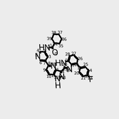 O=C(Nc1cncc(-c2ccc3[nH]nc(-c4nc5c(-c6ccc(F)cc6)cccc5[nH]4)c3n2)c1)C1CCCCC1